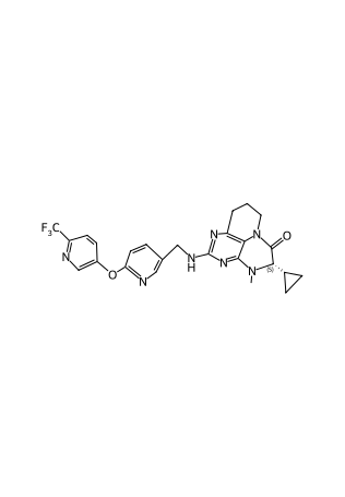 CN1c2nc(NCc3ccc(Oc4ccc(C(F)(F)F)nc4)nc3)nc3c2N(CCC3)C(=O)[C@@H]1C1CC1